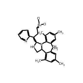 Cc1cc(C)c(C2CNC(=C(C[CH]=[Ru]([Cl])[Cl])c3ccccn3)N2c2c(C)cc(C)cc2C)c(C)c1